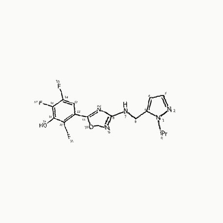 CC(C)n1nccc1CNc1noc(-c2cc(F)c(F)c(O)c2F)n1